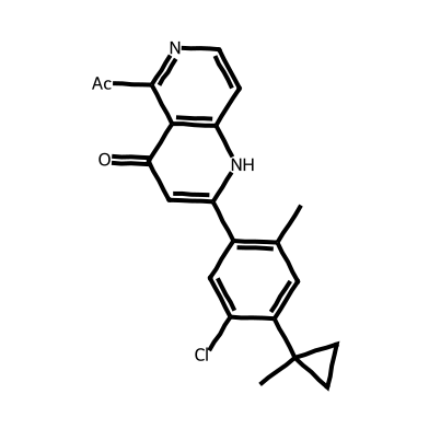 CC(=O)c1nccc2[nH]c(-c3cc(Cl)c(C4(C)CC4)cc3C)cc(=O)c12